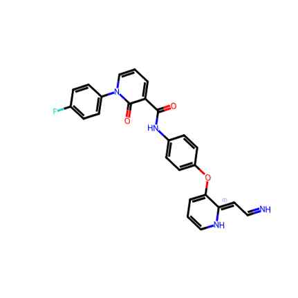 N=C/C=C1\NC=CC=C1Oc1ccc(NC(=O)c2cccn(-c3ccc(F)cc3)c2=O)cc1